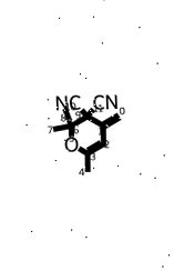 C=C1C=C(C)OC(C)(C)C1(C#N)C#N